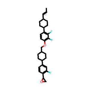 C/C=C/C1CCC(c2ccc(OCC3CCC(c4ccc(C5CO5)c(F)c4)CC3)c(F)c2F)CC1